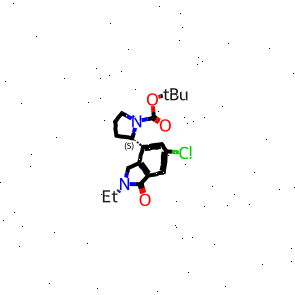 CCN1Cc2c(cc(Cl)cc2[C@@H]2CCCN2C(=O)OC(C)(C)C)C1=O